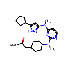 COC(=O)CC1CCC(N(C)c2nccc(N(C)c3cc(C4CCCC4)[nH]n3)n2)CC1